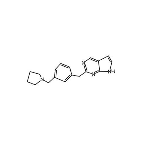 c1cc(Cc2ncc3cc[nH]c3n2)cc(CN2CCCC2)c1